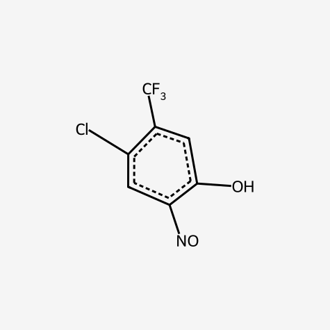 O=Nc1cc(Cl)c(C(F)(F)F)cc1O